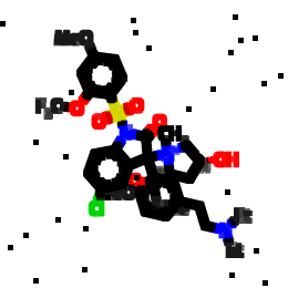 CCN(CC)CCc1ccc(OC)c(C2([N+]3(C)C[C@H](O)C[C@H]3C(=O)NC)C(=O)N(S(=O)(=O)c3ccc(OC)cc3OC(F)(F)F)c3ccc(Cl)cc32)c1